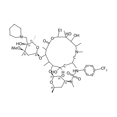 CCC1OC(=O)C(C)C(O[C@H]2C[C@@](C)(OC)[C@](O)(CN3CCCCC3)[C@H](C)O2)C(C)C(O[C@@H]2O[C@H](C)C[C@H](N(C)S(=O)(=O)Nc3ccc(C(F)(F)F)cc3)[C@H]2O)C(C)(O)CC(C)CN(C)C(C)C(O)C1(C)O